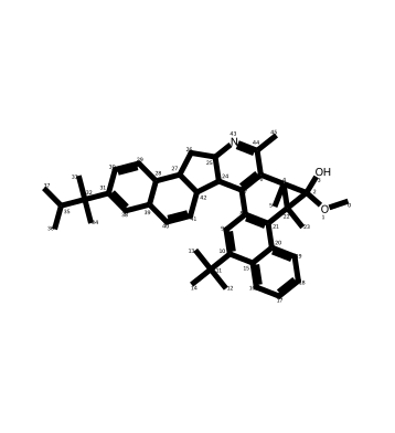 COC1(O)C2(C)C3=C(c4cc(C(C)(C)C)c5ccccc5c4C12C)C1C(CC2C4C=CC(C(C)(C)C(C)C)=CC4C=CC21)N=C3C